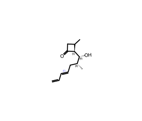 C=C/C=C/C[C@@H](C)[C@@H](O)[C@H]1C(=O)CC1C